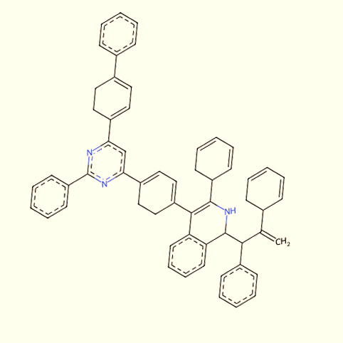 C=C(C1C=CC=CC1)C(c1ccccc1)C1NC(C2C=CC=CC2)=C(C2=CC=C(c3cc(C4=CC=C(c5ccccc5)CC4)nc(-c4ccccc4)n3)CC2)c2ccccc21